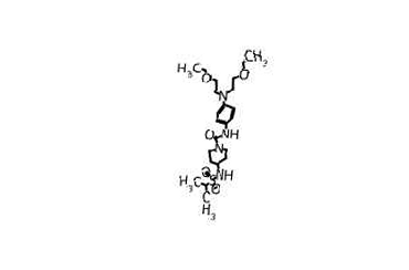 CCOCCN(CCOCC)c1ccc(NC(=O)N2CCC(NS(=O)(=O)C(C)C)CC2)cc1